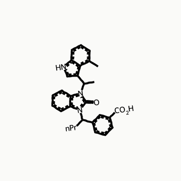 CCCC(c1cccc(C(=O)O)c1)n1c(=O)n(C(C)c2c[nH]c3cccc(C)c23)c2ccccc21